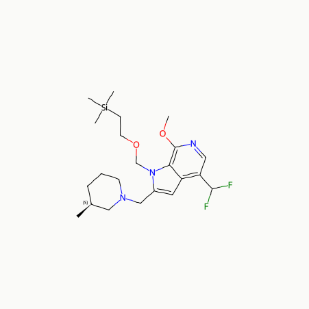 COc1ncc(C(F)F)c2cc(CN3CCC[C@H](C)C3)n(COCC[Si](C)(C)C)c12